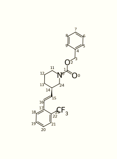 O=C(OCc1ccccc1)N1CCC[C@H](/C=C/c2ccccc2C(F)(F)F)C1